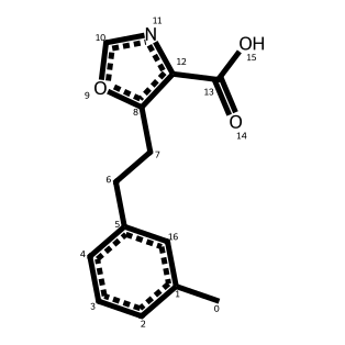 Cc1cccc(CCc2ocnc2C(=O)O)c1